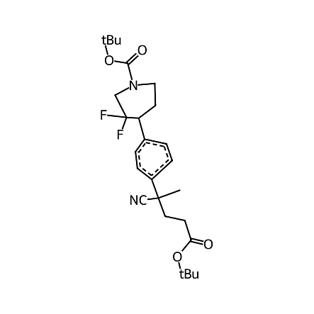 CC(C)(C)OC(=O)CCC(C)(C#N)c1ccc(C2CCN(C(=O)OC(C)(C)C)CC2(F)F)cc1